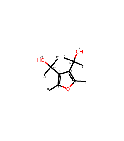 Cc1oc(C)c(C(C)(C)O)c1C(C)(C)O